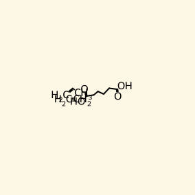 C=C.C=CC.O=C(O)CCCCC(=O)O